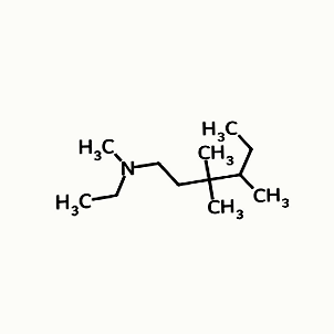 CCC(C)C(C)(C)CCN(C)CC